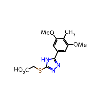 COc1cc(-c2nnc(SCC(=O)O)[nH]2)cc(OC)c1C